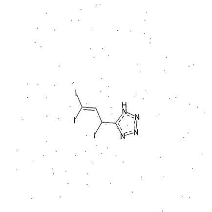 IC(I)=CC(I)c1nnn[nH]1